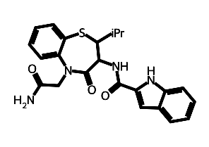 CC(C)C1Sc2ccccc2N(CC(N)=O)C(=O)C1NC(=O)c1cc2ccccc2[nH]1